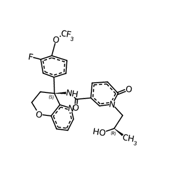 C[C@@H](O)Cn1cc(C(=O)N[C@]2(c3ccc(OC(F)(F)F)c(F)c3)CCOc3cccnc32)ccc1=O